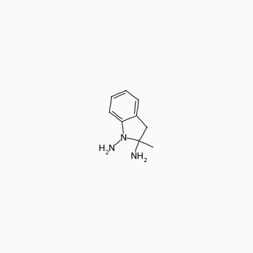 CC1(N)Cc2ccccc2N1N